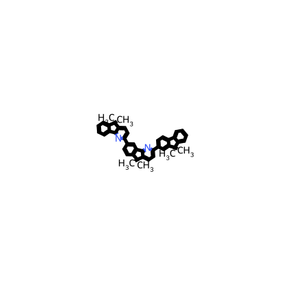 CC1(C)c2ccccc2-c2ccc(-c3ccc4c(n3)-c3cc(-c5ccc6c(n5)-c5ccccc5C6(C)C)ccc3C4(C)C)cc21